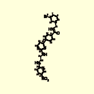 O=C(NCc1cccc(Br)c1)c1ccc(-c2ccnc(NCCNc3ccc([N+](=O)[O-])cn3)n2)cc1